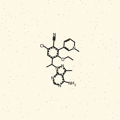 CCOc1c(C(C)n2nc(C)c3c(N)ncnc32)cc(Cl)c(C#N)c1C1=CN(C)CC=C1